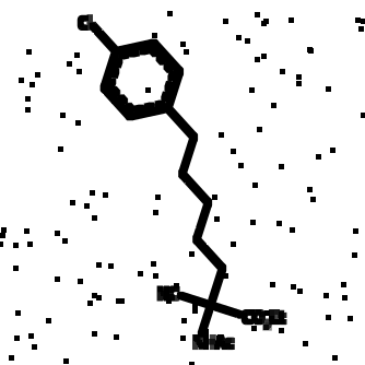 CCOC(=O)C(C#N)(CCCCCc1ccc(Cl)cc1)NC(C)=O